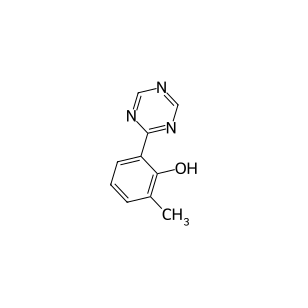 Cc1cccc(-c2ncncn2)c1O